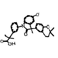 CC1(C)CCc2cc([C@]3(C)C(=O)N(c4cccc(C(C)(C)C(=O)O)c4)c4ccc(Cl)cc43)ccc2O1